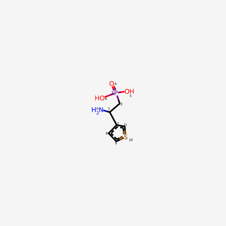 NC(CP(=O)(O)O)c1ccsc1